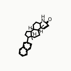 C[C@]12C=CC(=O)NC1CC[C@@H]1[C@H]2CC[C@]2(C)C(c3ccc4ccccc4c3)CC[C@@H]12